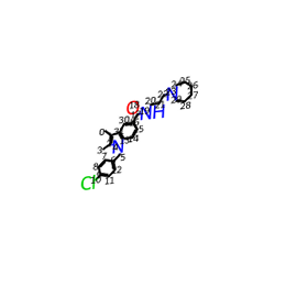 Cc1c(C)n(Cc2ccc(Cl)cc2)c2ccc(C(=O)NCCCN3CCCCCC3)cc12